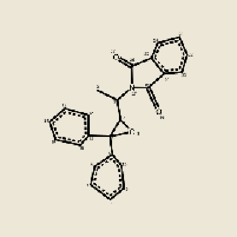 CC(C1OC1(c1ccccc1)c1ccccc1)N1C(=O)c2ccccc2C1=O